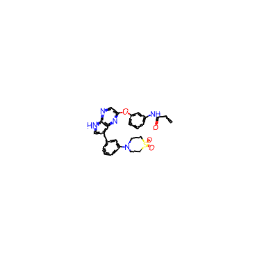 C=CC(=O)Nc1cccc(Oc2cnc3[nH]cc(-c4cccc(N5CCS(=O)(=O)CC5)c4)c3n2)c1